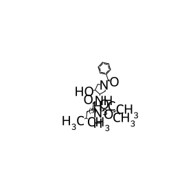 CC(C)C[C@H](NC(=O)OC(C)(C)C)C(=O)NC1CN(C(=O)c2ccccc2)CC1O